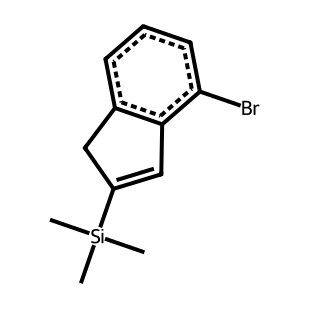 C[Si](C)(C)C1=Cc2c(Br)cccc2C1